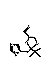 CC(C)(C)C1(Cn2cncn2)OCC(C=O)O1